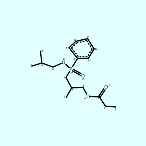 CCC(=O)OCC(C)CP(=O)(OCC(C)C)c1ccccc1